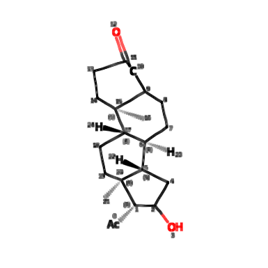 CC(=O)[C@H]1C(O)C[C@H]2[C@@H]3CCC4CC(=O)CC[C@]4(C)[C@H]3CC[C@]12C